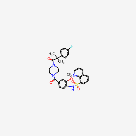 CC(C)(C(=O)N1CCN(C(=O)c2ccc(NS(=O)(=O)c3cccc4cccnc34)c(OC(F)(F)F)c2)CC1)c1ccc(F)cc1